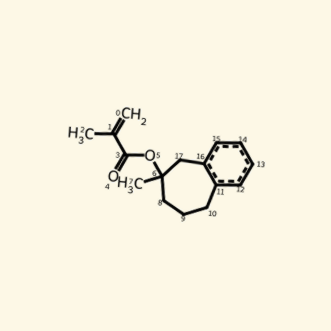 C=C(C)C(=O)OC1(C)CCCc2ccccc2C1